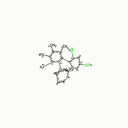 Cc1c(C)c(C)c(-c2c(Cl)cc(Cl)cc2C(=O)O)c(-c2ccccc2)c1C